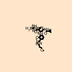 BC(B)(B)NC(=O)c1cnc(NC(=O)C2CC2)cc1Nc1cccc(-c2noc(CCOC)n2)c1OC